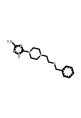 Nc1n[nH]c(N2CCN(CCOCc3ccccc3)CC2)n1